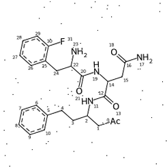 CC(=O)CC(CCc1ccccc1)NC(=O)C(CC(N)=O)NC(=O)C(N)Cc1ccccc1F